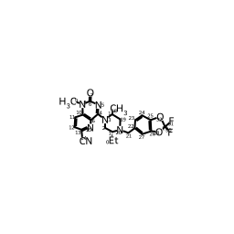 CC[C@@H]1CN(c2nc(=O)n(C)c3ccc(C#N)nc23)[C@@H](C)CN1Cc1ccc2c(c1)OC(F)(F)O2